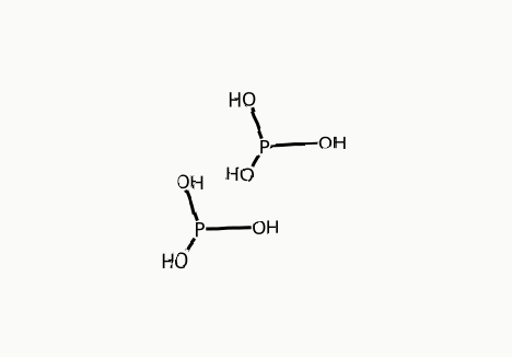 OP(O)O.OP(O)O